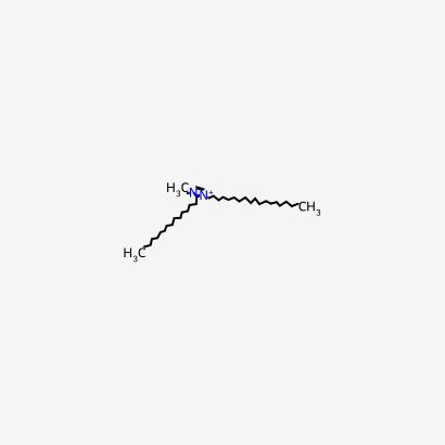 CCCCCCCCCCCCCCCCCCC[n+]1ccn(CC)c1CCCCCCCCCCCCCCC